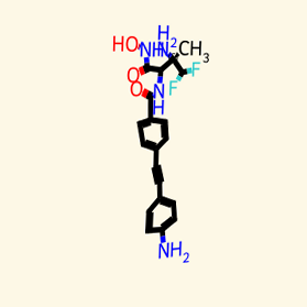 C[C@@](N)(C(F)F)C(NC(=O)c1ccc(C#Cc2ccc(N)cc2)cc1)C(=O)NO